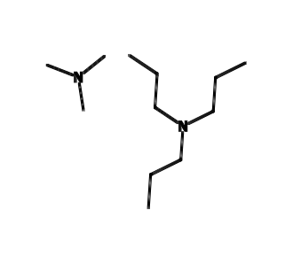 CCCN(CCC)CCC.CN(C)C